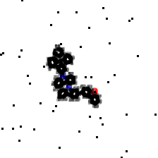 c1ccc([Si](c2ccccc2)(c2ccccc2)c2ccc(-n3c4ccccc4c4c(-n5c6ccccc6c6ccc(-c7ccc8oc9ccccc9c8c7)cc65)cccc43)cc2)cc1